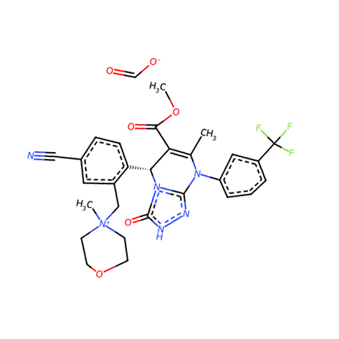 COC(=O)C1=C(C)N(c2cccc(C(F)(F)F)c2)c2n[nH]c(=O)n2[C@@H]1c1ccc(C#N)cc1C[N+]1(C)CCOCC1.O=C[O-]